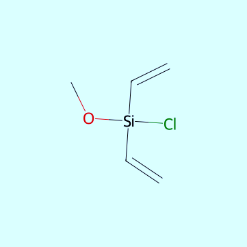 C=C[Si](Cl)(C=C)OC